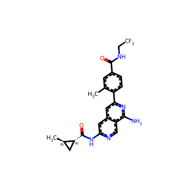 Cc1cc(C(=O)NCC(F)(F)F)ccc1-c1cc2cc(NC(=O)[C@@H]3C[C@H]3C)ncc2c(N)n1